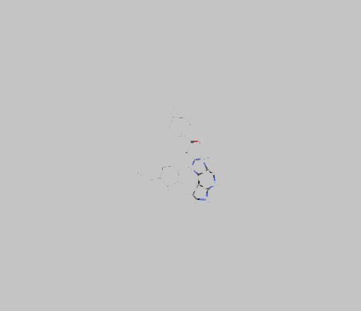 N#CC[C@H]1CC[C@H](n2c(CC(=O)N3CCC(C(F)(F)F)CC3)nc3cnc4[nH]ccc4c32)CC1